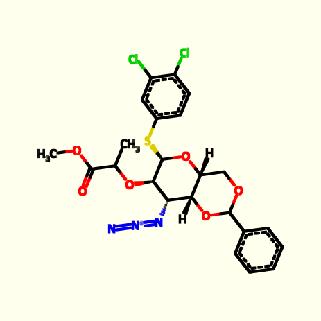 COC(=O)C(C)O[C@@H]1[C@@H](N=[N+]=[N-])[C@H]2OC(c3ccccc3)OC[C@H]2O[C@@H]1Sc1ccc(Cl)c(Cl)c1